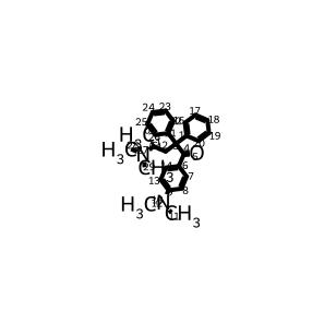 C[C@@H](CC(C(=O)c1ccc(N(C)C)cc1)(c1ccccc1)c1ccccc1)N(C)C